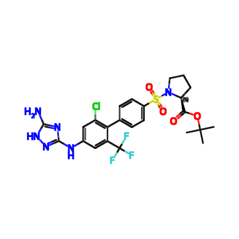 CC(C)(C)OC(=O)[C@@H]1CCCN1S(=O)(=O)c1ccc(-c2c(Cl)cc(Nc3n[nH]c(N)n3)cc2C(F)(F)F)cc1